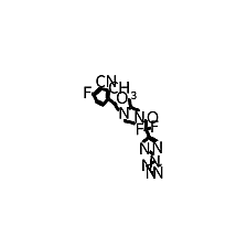 Cc1c(C2CN3CCN(C(=O)C(F)(F)c4cnc(-n5cnnn5)nc4)CC3CO2)ccc(F)c1C#N